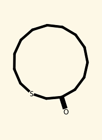 O=C1CCCCCCCCCCCCSC1